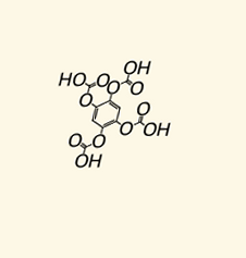 O=C(O)Oc1cc(OC(=O)O)c(OC(=O)O)cc1OC(=O)O